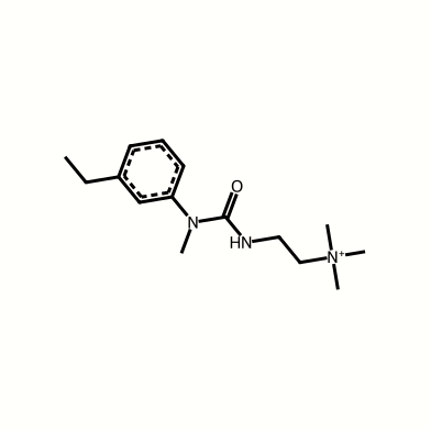 CCc1cccc(N(C)C(=O)NCC[N+](C)(C)C)c1